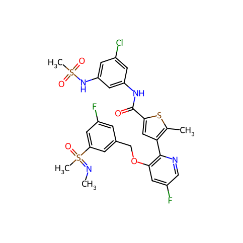 CN=S(C)(=O)c1cc(F)cc(COc2cc(F)cnc2-c2cc(C(=O)Nc3cc(Cl)cc(NS(C)(=O)=O)c3)sc2C)c1